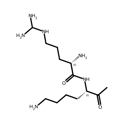 CC(=O)[C@H](CCCCN)NC(=O)[C@@H](N)CCCNC(N)N